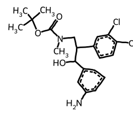 CN(CC(c1ccc(Cl)c(Cl)c1)C(O)c1cccc(N)c1)C(=O)OC(C)(C)C